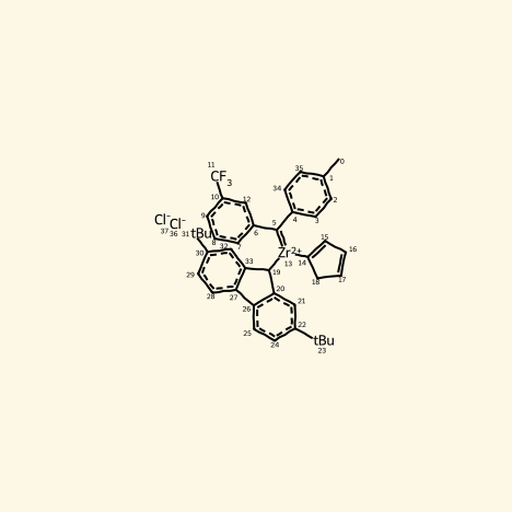 Cc1ccc(/[C](c2cccc(C(F)(F)F)c2)=[Zr+2](\[C]2=CC=CC2)[CH]2c3cc(C(C)(C)C)ccc3-c3ccc(C(C)(C)C)cc32)cc1.[Cl-].[Cl-]